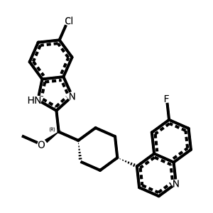 CO[C@@H](c1nc2cc(Cl)ccc2[nH]1)[C@H]1CC[C@@H](c2ccnc3ccc(F)cc32)CC1